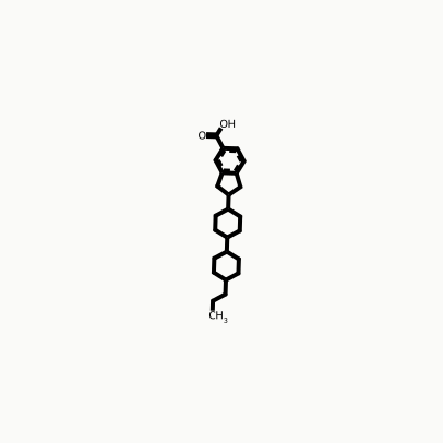 CCCC1CCC(C2CCC(C3Cc4ccc(C(=O)O)cc4C3)CC2)CC1